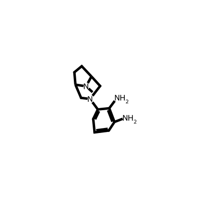 CN1C2CCC1CN(c1cccc(N)c1N)C2